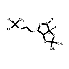 CC(C)(O)OCC[C@@H]1O[C@@H](N=O)[C@H]2OC(C)(C)OC12